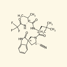 CC(C)[C@@H](NC(=O)C(F)(F)F)C(=O)N[C@@H](CC(C)(C)C)C(=O)N1C[C@]2(C[C@H]1C#N)C(=O)Nc1ccccc12